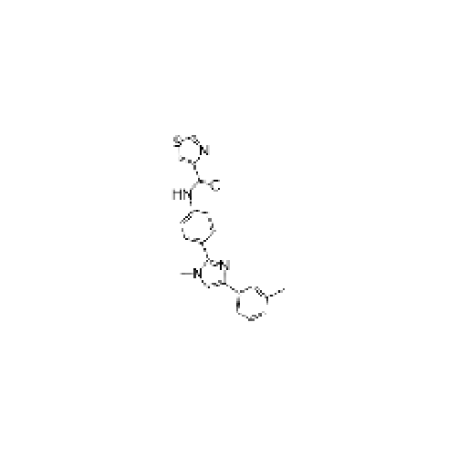 Cc1cccc(-c2cn(C)c(-c3ccc(NC(=O)c4cscn4)cc3)n2)c1